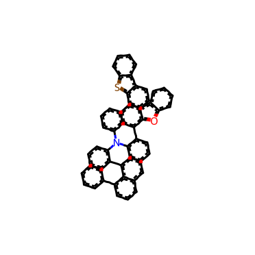 c1ccc(-c2cccc3cccc(-c4ccccc4N(c4cccc(-c5cccc6c5sc5ccccc56)c4)c4ccccc4-c4cccc5c4oc4ccccc45)c23)cc1